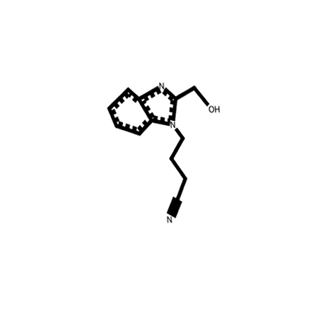 N#CCCCn1c(CO)nc2ccccc21